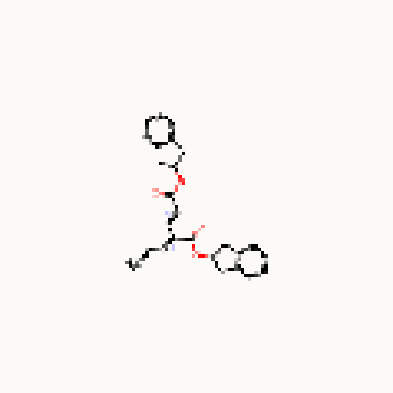 C=C/C=C(\C=C\C(=O)OC1Cc2ccccc2C1)C(=O)OC1Cc2ccccc2C1